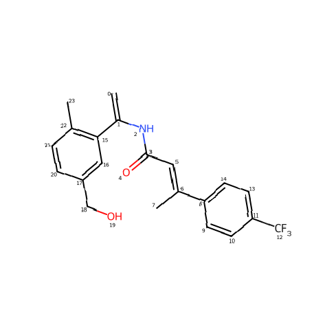 C=C(NC(=O)/C=C(\C)c1ccc(C(F)(F)F)cc1)c1cc(CO)ccc1C